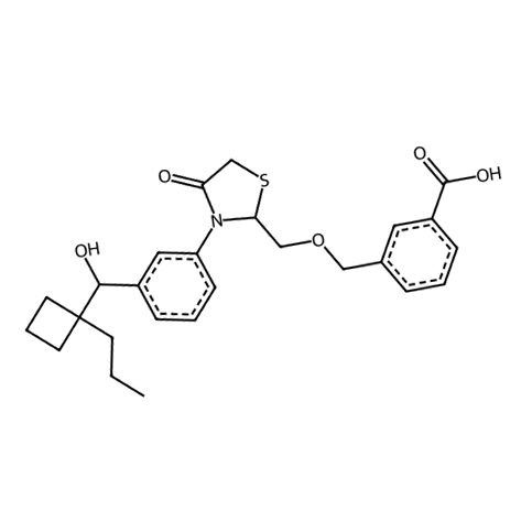 CCCC1(C(O)c2cccc(N3C(=O)CSC3COCc3cccc(C(=O)O)c3)c2)CCC1